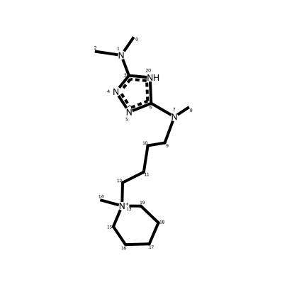 CN(C)c1nnc(N(C)CCCC[N+]2(C)CCCCC2)[nH]1